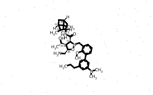 CCCc1cc(-c2cccc(CN3O[C@@H](CN)[C@@H]([C@H](C)O)[C@H]3C(=O)N[C@H]3C[C@H]4C[C@@H]([C@@H]3C)C4(C)C)c2OC)cc(N(C)C)c1